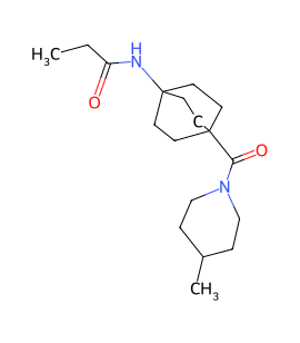 CCC(=O)NC12CCC(C(=O)N3CCC(C)CC3)(CC1)CC2